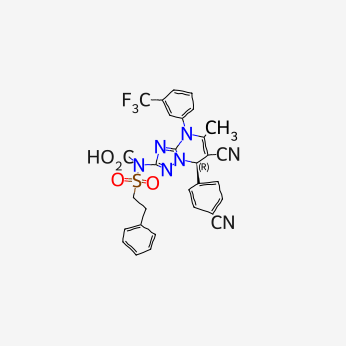 CC1=C(C#N)[C@@H](c2ccc(C#N)cc2)n2nc(N(C(=O)O)S(=O)(=O)CCc3ccccc3)nc2N1c1cccc(C(F)(F)F)c1